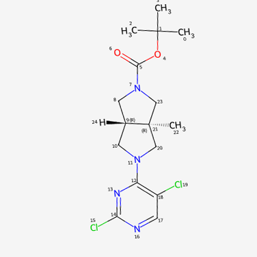 CC(C)(C)OC(=O)N1C[C@H]2CN(c3nc(Cl)ncc3Cl)C[C@]2(C)C1